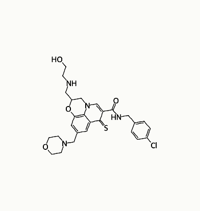 O=C(NCc1ccc(Cl)cc1)c1cn2c3c(cc(CN4CCOCC4)cc3c1=S)OC(CNCCO)C2